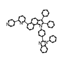 c1ccc(-c2c(-c3ccccc3)n(-c3ccc(-c4nc5ccccc5n4-c4ccccc4)cc3)c3c2ccc2c(-c4cccc(-c5ccncc5)n4)cccc23)cc1